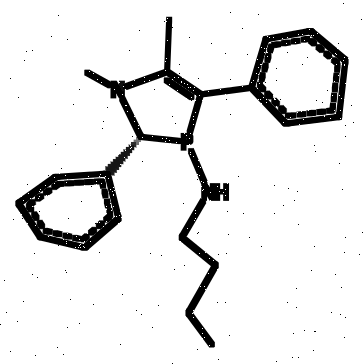 CCCCNP1C(c2ccccc2)=C(C)N(C)[C@H]1c1ccccc1